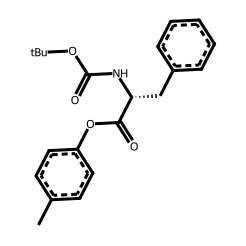 Cc1ccc(OC(=O)[C@@H](Cc2ccccc2)NC(=O)OC(C)(C)C)cc1